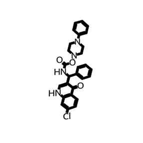 O=C(NC(c1ccccc1)c1c[nH]c2cc(Cl)ccc2c1=O)ON1CCN(c2ccccc2)CC1